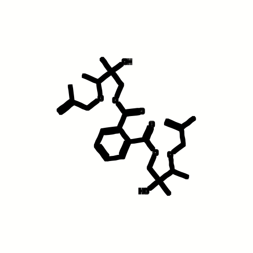 C=C(C)COC(C)C(C)(O)COC(=O)c1ccccc1C(=O)OCC(C)(O)C(C)OCC(=C)C